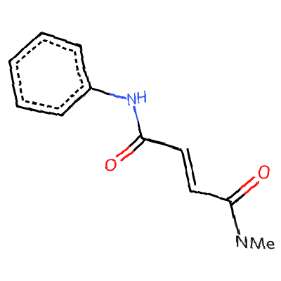 CNC(=O)C=CC(=O)Nc1ccccc1